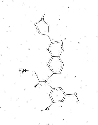 COc1cc(OC)cc(N(c2ccc3ncc(C4C=NN(C)C4)nc3c2)[C@@H](C)CN)c1